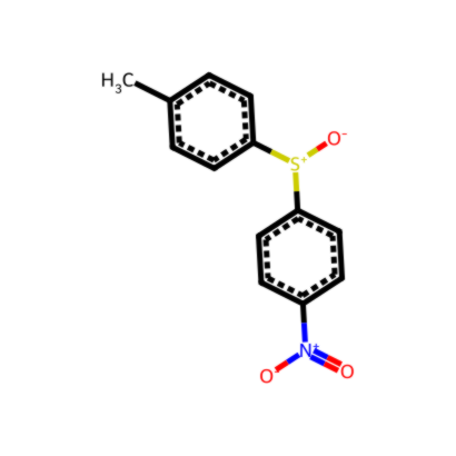 Cc1ccc([S+]([O-])c2ccc([N+](=O)[O-])cc2)cc1